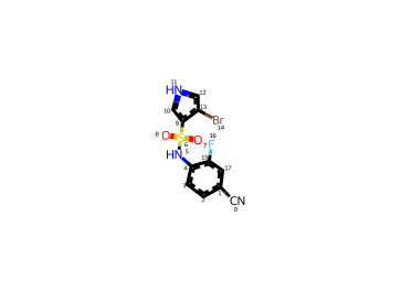 N#Cc1ccc(NS(=O)(=O)c2c[nH]cc2Br)c(F)c1